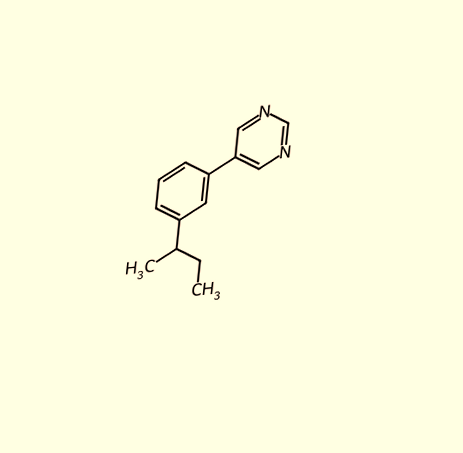 CCC(C)c1cccc(-c2cncnc2)c1